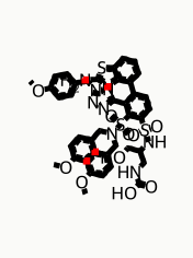 COc1ccc(CN(Cc2ccc(OC)cc2)S(=O)(=O)c2c(S(=O)(=O)NC(CO)CNC(=O)O)ccc(-c3cccc4sc(N)nc34)c2-c2nnn(Cc3ccc(OC)cc3)n2)cc1